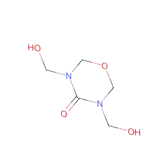 O=C1N(CO)COCN1CO